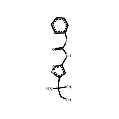 CC(C)(CO)c1cc(NC(=O)Oc2ccccc2)on1